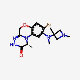 C[C@@H]1C(=O)NN=C2COc3cc(Br)c(N(C)C4(C)CN(C)C4)cc3N21